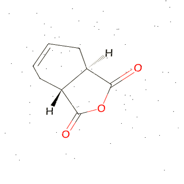 O=C1OC(=O)[C@@H]2CC=CC[C@@H]12